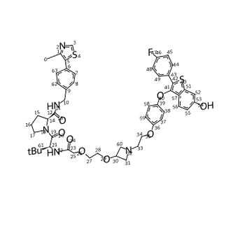 Cc1ncsc1-c1ccc(CNC(=O)[C@@H]2CCCN2C(=O)[C@@H](NC(=O)COCCOC2CN(CCOc3ccc(Oc4c(-c5ccc(F)cc5)sc5cc(O)ccc45)cc3)C2)C(C)(C)C)cc1